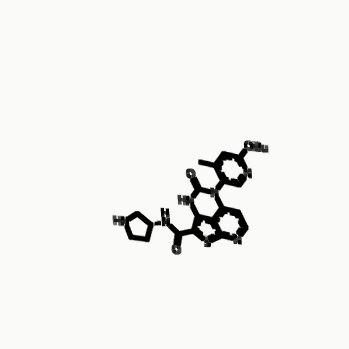 Cc1cc(OCC(C)C)ncc1N1C(=O)Nc2c(C(=O)N[C@@H]3CCNC3)sc3nccc1c23